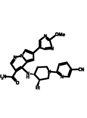 CC[C@@H]1CN(c2ccc(C#N)cn2)CC[C@H]1Nc1c(C(N)=O)cnn2cc(-c3cnc(OC)nc3)cc12